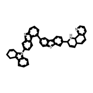 C1=Cc2c(c3ccccc3n2-c2ccc3c(c2)sc2cccc(-c4ccc5sc6cc(C7C=CC8C=Cc9cccnc9C8N7)ccc6c5c4)c23)CC1